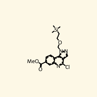 COC(=O)c1ccc2c(c1)nc(Cl)c1cnn(COCC[Si](C)(C)C)c12